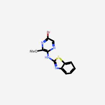 COc1nc(Br)cnc1Nc1nc2ccccc2s1